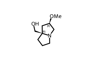 CO[C@H]1CN2CCC[C@]2(CO)C1